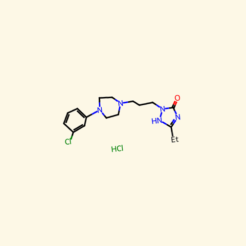 CCc1nc(=O)n(CCCN2CCN(c3cccc(Cl)c3)CC2)[nH]1.Cl